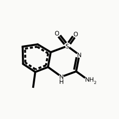 Cc1cccc2c1NC(N)=NS2(=O)=O